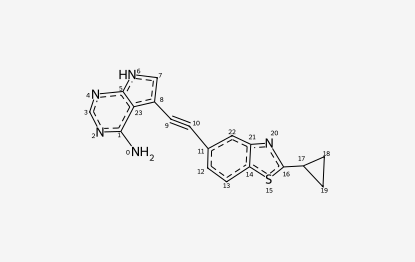 Nc1ncnc2[nH]cc(C#Cc3ccc4sc(C5CC5)nc4c3)c12